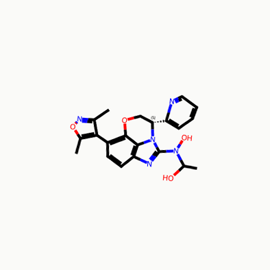 Cc1noc(C)c1-c1ccc2nc(N(O)C(C)O)n3c2c1OC[C@@H]3c1ccccn1